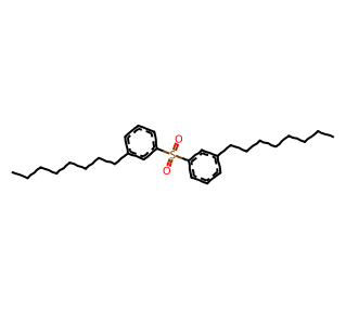 CCCCCCCCc1cccc(S(=O)(=O)c2cccc(CCCCCCCC)c2)c1